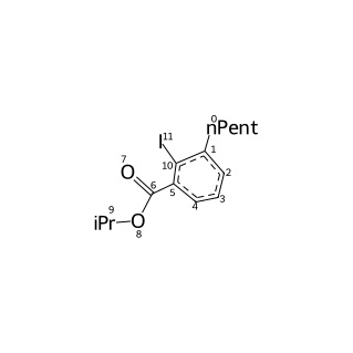 CCCCCc1cccc(C(=O)OC(C)C)c1I